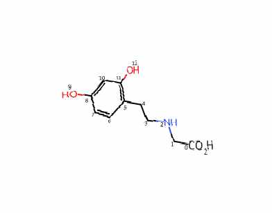 O=C(O)CNCCc1ccc(O)cc1O